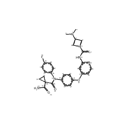 CN(C)C1CN(C(=O)Nc2cc(Oc3ccc(N(C(=O)C4(C(N)=O)CC4)c4ccc(F)cc4)cc3)ccn2)C1